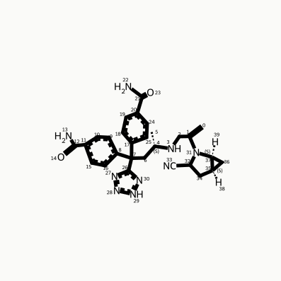 C=C(CN[C@@H](C)CC(c1ccc(C(N)=O)cc1)(c1ccc(C(N)=O)cc1)c1nn[nH]n1)N1C(C#N)C[C@@H]2C[C@@H]21